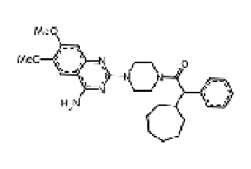 COc1cc2nc(N3CCN(C(=O)C(c4ccccc4)C4CCCCCC4)CC3)nc(N)c2cc1OC